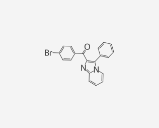 O=C(c1ccc(Br)cc1)c1nc2ccccn2c1-c1ccccc1